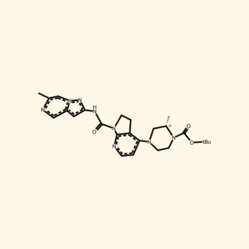 Cc1cn2nc(NC(=O)N3CCc4c(N5CCN(C(=O)OC(C)(C)C)[C@@H](C)C5)ccnc43)cc2cn1